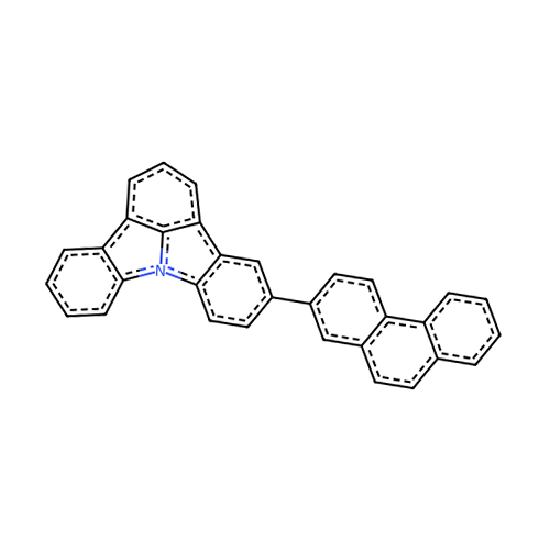 c1ccc2c(c1)ccc1cc(-c3ccc4c(c3)c3cccc5c6ccccc6n4c53)ccc12